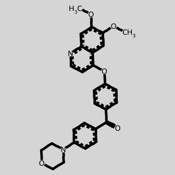 COc1cc2nccc(Oc3ccc(C(=O)c4ccc(N5CCOCC5)cc4)cc3)c2cc1OC